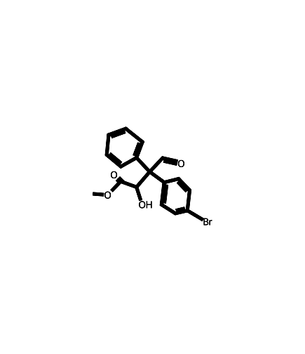 COC(=O)C(O)C(C=O)(c1ccccc1)c1ccc(Br)cc1